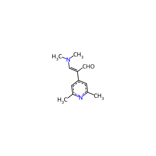 Cc1cc(C(C=O)=CN(C)C)cc(C)n1